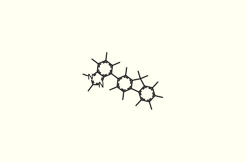 Cc1c(C)c(C)c2c(c1C)-c1c(C)c(C)c(-c3c(C)c(C)c(C)c4c3nc(C)n4C)c(C)c1C2(C)C